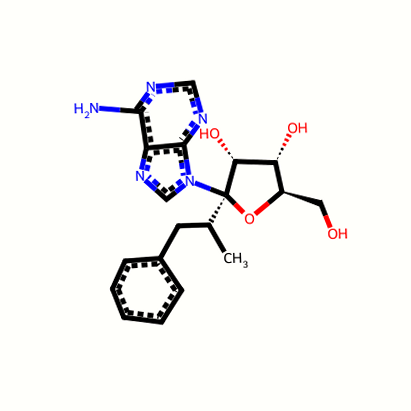 CC(Cc1ccccc1)[C@@]1(n2cnc3c(N)ncnc32)O[C@H](CO)[C@@H](O)[C@H]1O